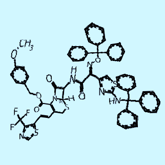 COc1ccc(COC(=O)C2=C(C=Cc3scnc3C(F)(F)F)CS[C@H]3C(NC(=O)C(=NOC(c4ccccc4)(c4ccccc4)c4ccccc4)c4csc(NC(c5ccccc5)(c5ccccc5)c5ccccc5)n4)C(=O)N23)cc1